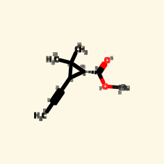 CC#CC1[C@@H](C(=O)OC(C)(C)C)C1(C)C